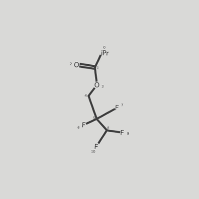 CC(C)C(=O)OCC(F)(F)C(F)F